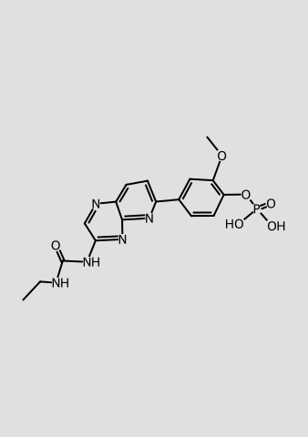 CCNC(=O)Nc1cnc2ccc(-c3ccc(OP(=O)(O)O)c(OC)c3)nc2n1